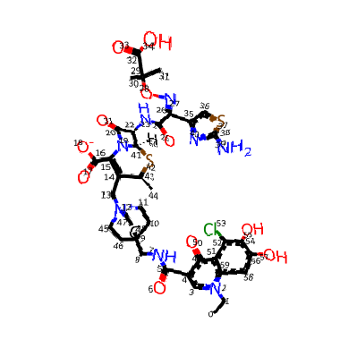 CCn1cc(C(=O)NCC23CC[N+](CC4=C(C(=O)[O-])N5C(=O)[C@@H](NC(=O)/C(=N\OC(C)(C)C(=O)O)c6csc(N)n6)[C@H]5S[C@H]4C)(CC2)CC3)c(=O)c2c(Cl)c(O)c(O)cc21